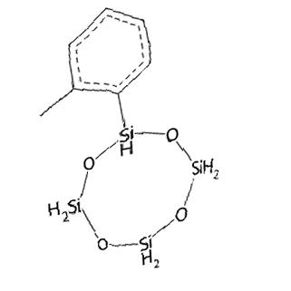 Cc1ccccc1[SiH]1O[SiH2]O[SiH2]O[SiH2]O1